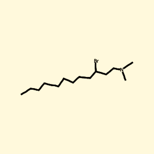 CCCCCCCCCC(Br)CCN(C)C